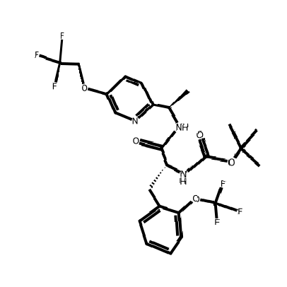 C[C@@H](NC(=O)[C@@H](Cc1ccccc1OC(F)(F)F)NC(=O)OC(C)(C)C)c1ccc(OCC(F)(F)F)cn1